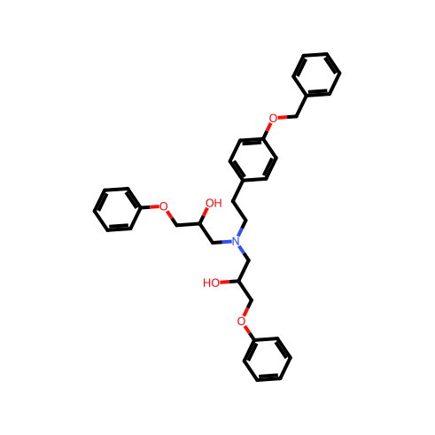 OC(COc1ccccc1)CN(CCc1ccc(OCc2ccccc2)cc1)CC(O)COc1ccccc1